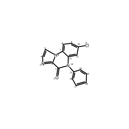 O=c1c2nccn2c2ccc(Cl)cc2n1-c1ccccc1